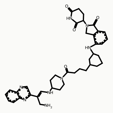 NC/C(=C\NC1CCN(C(=O)CCCC2CCCC(Nc3cccc4c3CN(C3CCC(=O)NC3=O)C4=O)C2)CC1)c1cnc2ccccc2n1